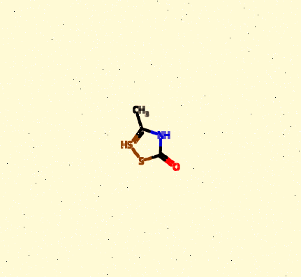 CC1=[SH]SC(=O)N1